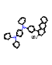 CC(C)(C)c1ccc2cc3ccccc3cc2c1-c1ccc(N(c2ccccc2)c2ccc(N(c3ccccc3)c3ccccc3)cc2)cc1